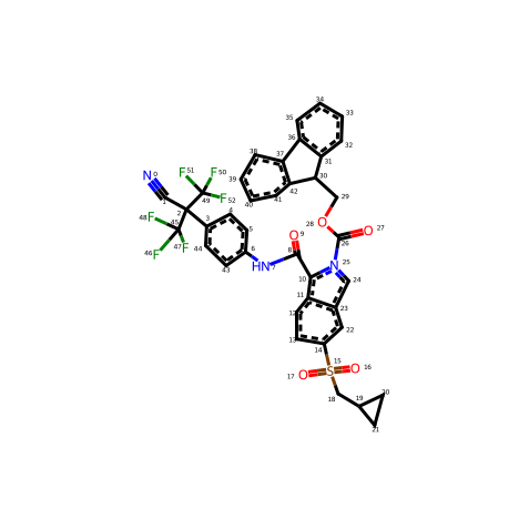 N#CC(c1ccc(NC(=O)c2c3ccc(S(=O)(=O)CC4CC4)cc3cn2C(=O)OCC2c3ccccc3-c3ccccc32)cc1)(C(F)(F)F)C(F)(F)F